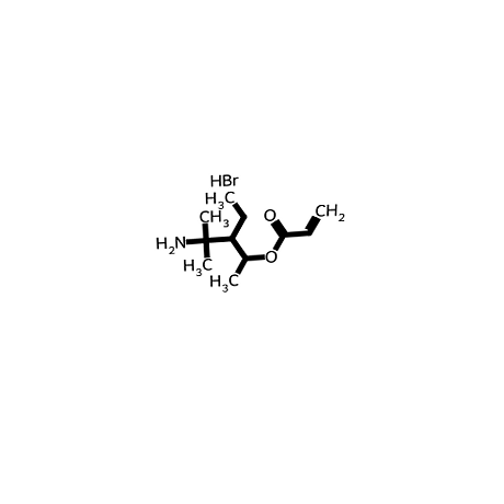 Br.C=CC(=O)OC(C)C(CC)C(C)(C)N